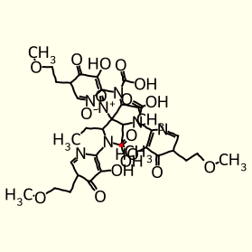 CCC(N(C(=O)O)C1=C(O)C(=O)C(CCOC)C=N1)C(C(CC)N(C(=O)O)C1=C(O)C(=O)C(CCOC)C=N1)(C(CC)N(C(=O)O)C1=C(O)C(=O)C(CCOC)C=N1)[N+](=O)[O-]